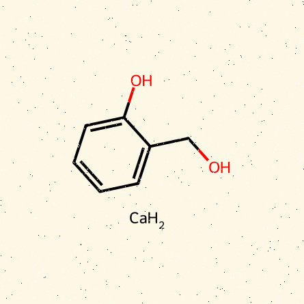 OCc1ccccc1O.[CaH2]